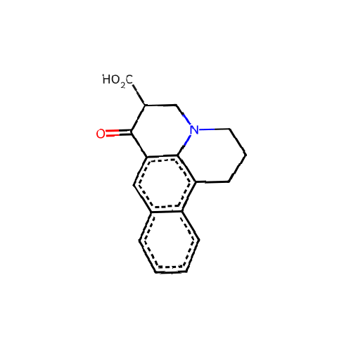 O=C(O)C1CN2CCCc3c2c(cc2ccccc32)C1=O